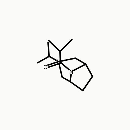 CC(C)C(=O)N1C2CCC1CN(C(C)C)C2